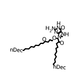 CCCCCCCCCCCCCCCCCCCC(=O)CCCOC(C(=O)CCCCCCCCCCCCCCCCCCC)N1CNc2c1nc(N)[nH]c2=O